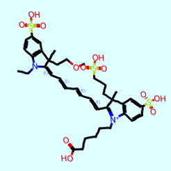 CCN1/C(=C/C=C/C=C/C=C/C2=[N+](CCCCCC(=O)O)c3ccc(S(=O)(=O)O)cc3C2(C)CCCS(=O)(=O)O)C(C)(CCOC)c2cc(S(=O)(=O)O)ccc21